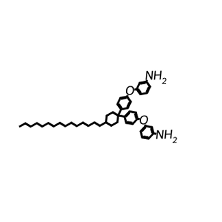 CCCCCCCCCCCCCCCC1CCC(c2ccc(Oc3cccc(N)c3)cc2)(c2ccc(Oc3cccc(N)c3)cc2)CC1